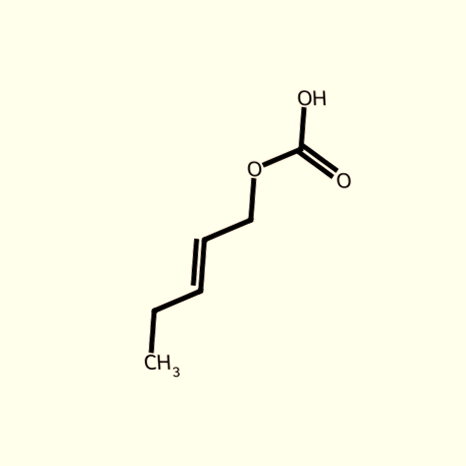 CCC=CCOC(=O)O